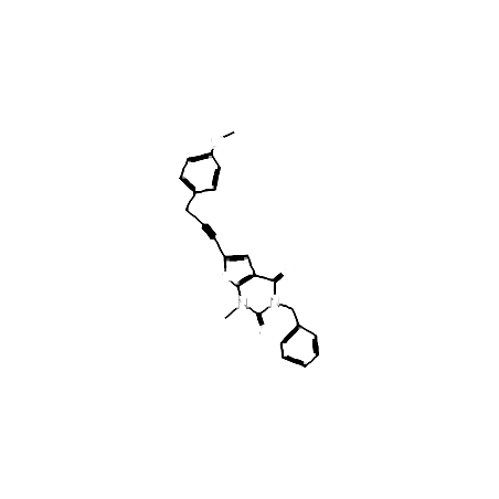 COc1ccc(CC#Cc2cc3c(=O)n(Cc4ccccc4)c(=O)n(C)c3s2)cc1